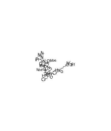 CCOC(C)=NOCCCCCC(=O)NCc1ccc(NC(=O)C(Cc2ccccc2)NC(=O)[C@H](C)[C@@H](OC)C2CCCN2C(=O)C[C@@H](OC)[C@H]([C@@H](C)CC)N(C)C(=O)C(N=C(N(C)C)N(C)C)C(C)C)cc1